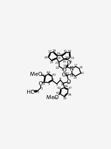 C#CCOc1cc(CCC(OC(=O)[C@@H]2CCCCN2C(=O)OCC2c3ccccc3-c3ccccc32)c2cccc(OC)c2)ccc1OC